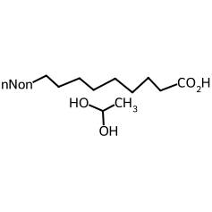 CC(O)O.CCCCCCCCCCCCCCCCCC(=O)O